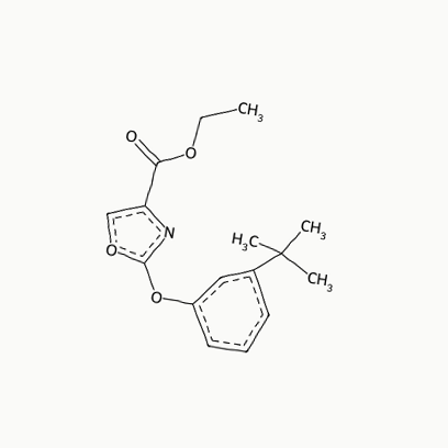 CCOC(=O)c1coc(Oc2cccc(C(C)(C)C)c2)n1